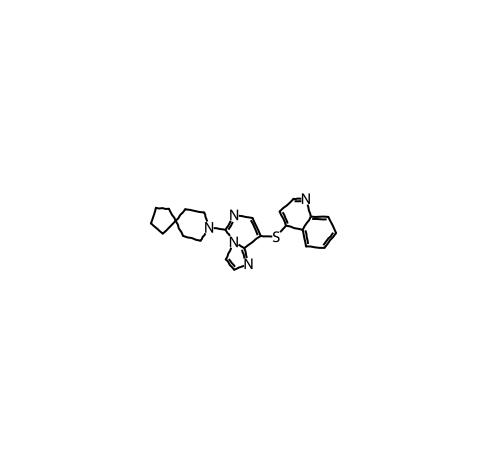 c1ccc2c(Sc3cnc(N4CCC5(CCCC5)CC4)n4ccnc34)ccnc2c1